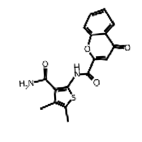 Cc1sc(NC(=O)c2cc(=O)c3ccccc3o2)c(C(N)=O)c1C